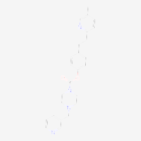 Cc1ccc(CCc2ccc(OC(=O)N3CCN(Cc4cccnc4)CC3)cc2)nc1